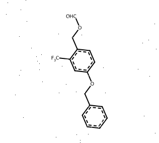 O=COCc1ccc(OCc2ccccc2)cc1C(F)(F)F